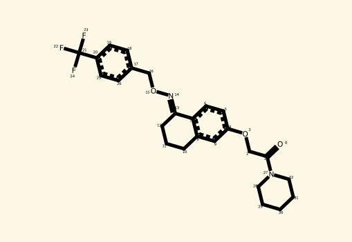 O=C(COc1ccc2c(c1)CCCC2=NOCc1ccc(C(F)(F)F)cc1)N1CCCCC1